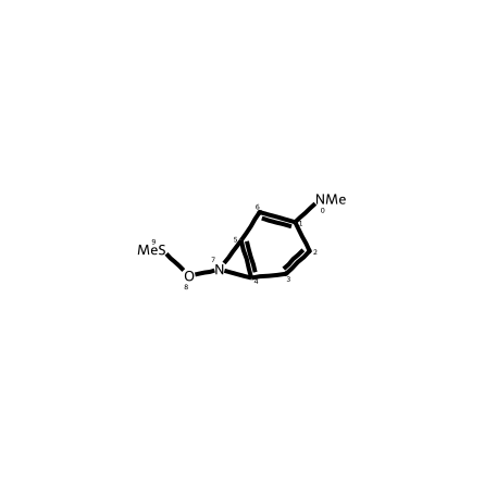 CNc1ccc2c(c1)N2OSC